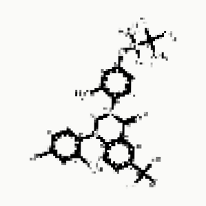 Cc1cc(O[Si](C)(C)C(C)(C)C)ccc1N1CN(c2ccc(F)cc2C)c2ccc(C(F)(F)F)cc2C1=O